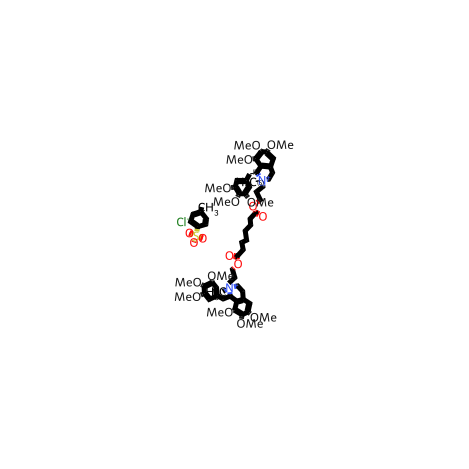 COc1cc(CC2c3c(cc(OC)c(OC)c3OC)CC[N+]2(C)CCCOC(=O)CCCCCCC(=O)OCCC[N@+]2(C)CCc3cc(OC)c(OC)c(OC)c3[C@H]2Cc2cc(OC)c(OC)c(OC)c2)cc(OC)c1OC.Cc1ccc(S(=O)(=O)[O-])cc1.[Cl-]